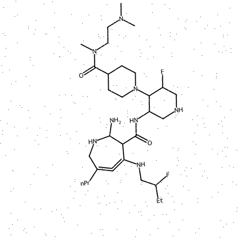 CCCC1=C=C(NCC(F)CC)C(C(=O)NC2CNCC(F)C2N2CCC(C(=O)N(C)CCN(C)C)CC2)C(N)NC1